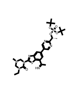 CCN1CN(C)CN(c2nc3cc(-c4cnc([C@@H](C)OP(=O)(OC(C)(C)C)OC(C)(C)C)nc4)cc(C(C)=N)c3s2)C1=O